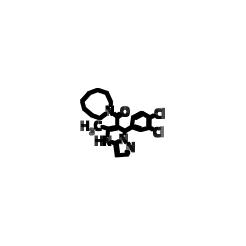 CC1=C(C(=O)N2CCCCCCCC2)C(c2ccc(Cl)c(Cl)c2)n2nccc2N1